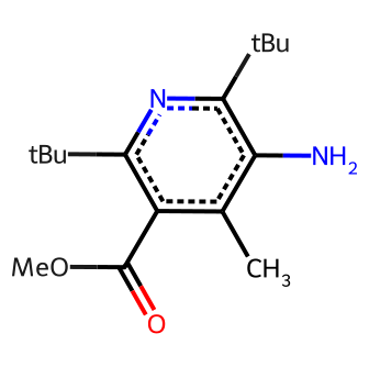 COC(=O)c1c(C(C)(C)C)nc(C(C)(C)C)c(N)c1C